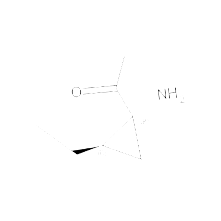 CC[C@@H]1C[C@]1(N)C(C)=O